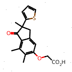 Cc1c(OCC(=O)O)cc2c(c1C)C(=O)C(C)(c1cccs1)C2